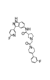 O=C(Nc1ccc2[nH]nc(-c3ccc(F)nc3)c2c1)C1CCN(CC(=O)N2CC=C(c3cccc(F)c3)CC2)C1